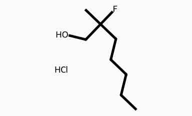 CCCCCC(C)(F)CO.Cl